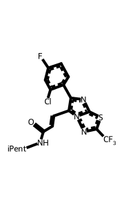 CCCC(C)NC(=O)/C=C/c1c(-c2ccc(F)cc2Cl)nc2sc(C(F)(F)F)nn12